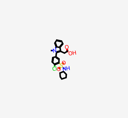 Cn1c(-c2ccc(Cl)c(S(=O)(=O)NC3CCCCC3)c2)c(CC(=O)O)c2ccccc21